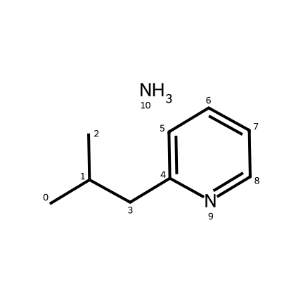 CC(C)Cc1ccccn1.N